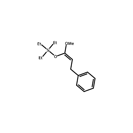 CC[Si](CC)(CC)OC(=CCc1ccccc1)OC